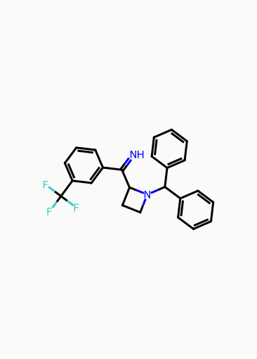 N=C(c1cccc(C(F)(F)F)c1)C1CCN1C(c1ccccc1)c1ccccc1